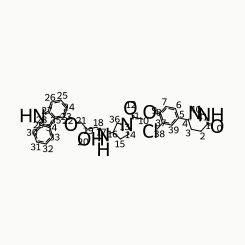 O=C1CCC(c2ccc(OCC(=O)N3CCC(NCC(O)COc4cccc5[nH]c6ccccc6c45)C3)c(Cl)c2)=NN1